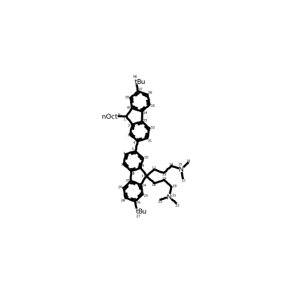 CCCCCCCCC1c2cc(-c3ccc4c(c3)C(CCCN(C)C)(CCCN(C)C)c3cc(C(C)(C)C)ccc3-4)ccc2-c2ccc(C(C)(C)C)cc21